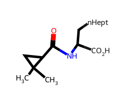 CCCCCCCCC(NC(=O)C1CC1(C)C)C(=O)O